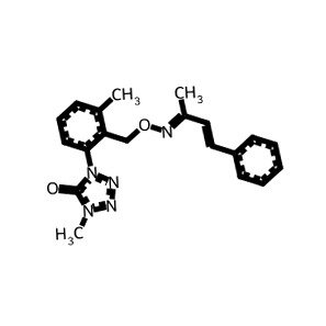 CC(C=Cc1ccccc1)=NOCc1c(C)cccc1-n1nnn(C)c1=O